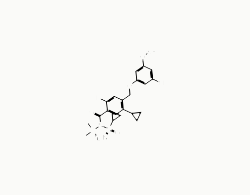 CC(C)(C)S(C)(C)N(C(=O)c1cc(C2CC2)c(COc2cc(Cl)cc(OC(F)(F)F)c2)cc1F)S(=N)(=O)C1CC1